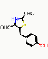 O=CC1NC(C=O)C(Cc2ccc(O)cc2)S1